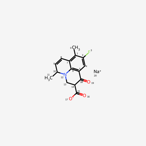 Cc1c(F)cc2c3c1C=CC(C)N3CC(C(=O)[O-])C2=O.[Na+]